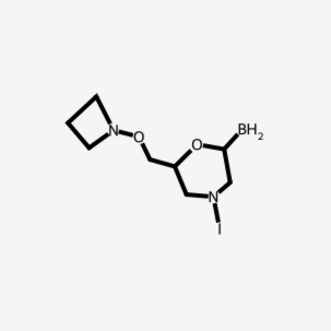 BC1CN(I)CC(CON2CCC2)O1